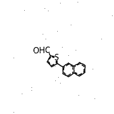 O=Cc1ccc(-c2ccc3ccccc3c2)s1